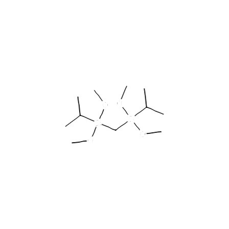 CO[Si](C[Si](OC)(OC)C(C)C)(OC)C(C)C